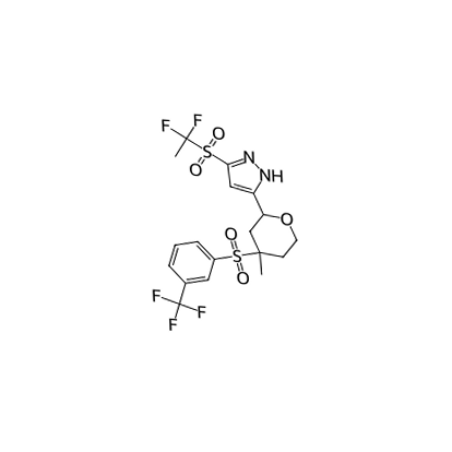 CC(F)(F)S(=O)(=O)c1cc(C2CC(C)(S(=O)(=O)c3cccc(C(F)(F)F)c3)CCO2)[nH]n1